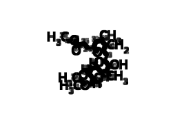 C=C1C(C[C@@H]2O[C@H]3C[C@H]4OC(C)(C)OC[C@H]4O[C@H]3[C@H](C)[C@H]2O)O[C@@H](CCC(=O)OCC)C[C@H]1C